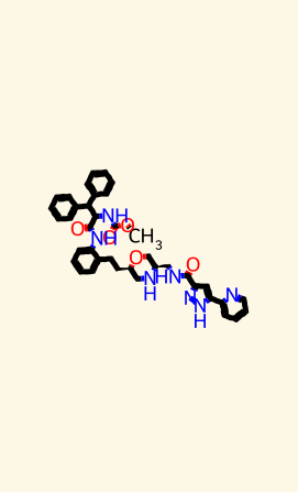 COC(=O)NC(C(=O)Nc1ccccc1CC[C@@H]1CN[C@H](CNC(=O)c2cc(-c3ccccn3)[nH]n2)CO1)C(c1ccccc1)c1ccccc1